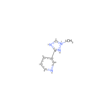 Cn1cnc(-c2cccnc2)n1